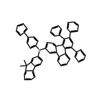 CC1(C)c2ccccc2-c2ccc(N(c3ccc(-c4ccccc4)cc3)c3ccc4c(c3)c3ccccc3c3c(-c5ccccc5)cc(-c5ccccc5)c(-c5ccccc5)c43)cc21